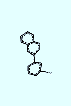 CC(=O)c1cccc(-c2cnc3ccccc3c2)c1